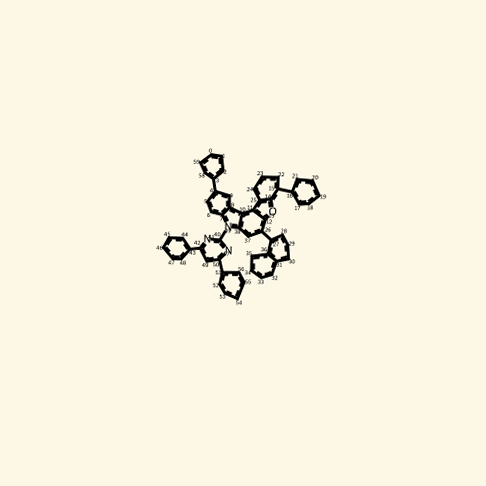 c1ccc(-c2ccc3c(c2)c2c4c(oc5c(-c6ccccc6)cccc54)c(-c4cccc5ccccc45)cc2n3-c2nc(-c3ccccc3)cc(-c3ccccc3)n2)cc1